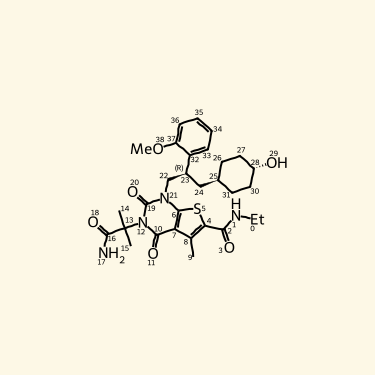 CCNC(=O)c1sc2c(c1C)c(=O)n(C(C)(C)C(N)=O)c(=O)n2C[C@H](C[C@H]1CC[C@H](O)CC1)c1ccccc1OC